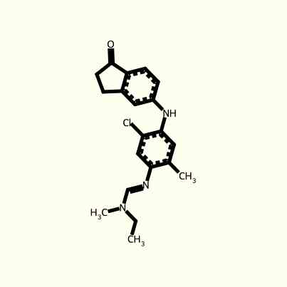 CCN(C)C=Nc1cc(Cl)c(Nc2ccc3c(c2)CCC3=O)cc1C